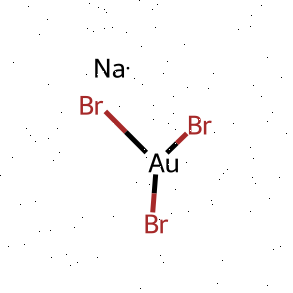 [Br][Au]([Br])[Br].[Na]